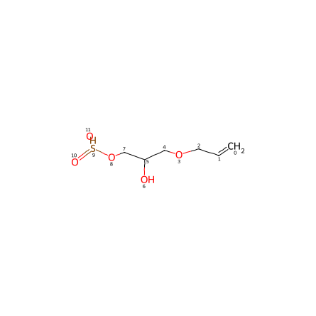 C=CCOCC(O)CO[SH](=O)=O